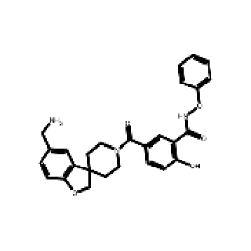 NCc1ccc2c(c1)C1(CCN(C(=O)c3ccc(O)c(C(=O)NOc4ccccc4)c3)CC1)CO2